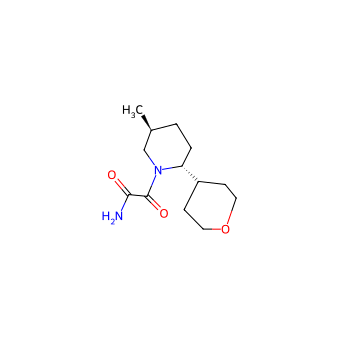 C[C@H]1CC[C@H](C2CCOCC2)N(C(=O)C(N)=O)C1